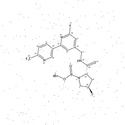 CC(C)(C)OC(=O)N1C[C@H](F)C[C@H]1C(=O)NCc1cc(F)nc(-c2ccc(C(F)(F)F)nc2)c1